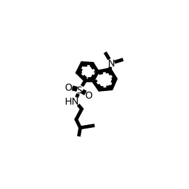 CC(C)CCNS(=O)(=O)c1cccc2c(N(C)C)cccc12